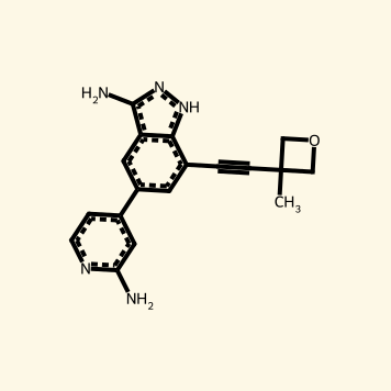 CC1(C#Cc2cc(-c3ccnc(N)c3)cc3c(N)n[nH]c23)COC1